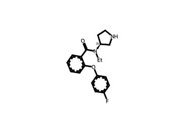 CCN(C(=O)c1ccccc1Oc1ccc(F)cc1)[C@H]1CCNC1